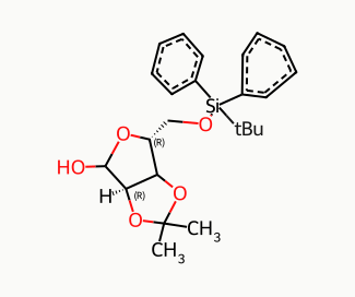 CC1(C)OC2[C@@H](O1)C(O)O[C@@H]2CO[Si](c1ccccc1)(c1ccccc1)C(C)(C)C